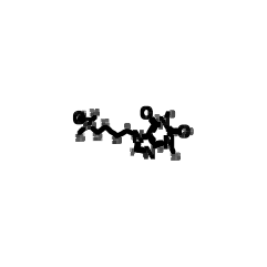 Cn1c(=O)c2c(ncn2CCCCP(C)(C)=O)n(C)c1=O